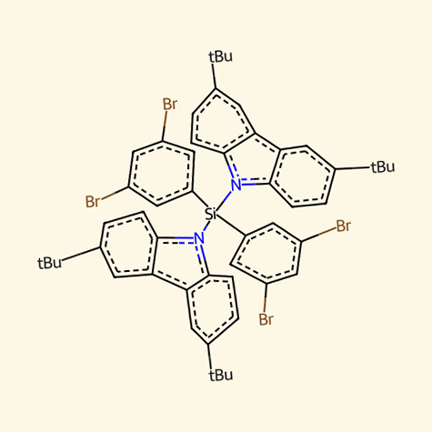 CC(C)(C)c1ccc2c(c1)c1cc(C(C)(C)C)ccc1n2[Si](c1cc(Br)cc(Br)c1)(c1cc(Br)cc(Br)c1)n1c2ccc(C(C)(C)C)cc2c2cc(C(C)(C)C)ccc21